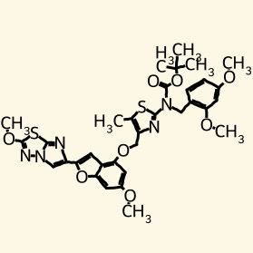 COc1ccc(CN(C(=O)OC(C)(C)C)c2nc(COc3cc(OC)cc4oc(-c5cn6nc(OC)sc6n5)cc34)c(C)s2)c(OC)c1